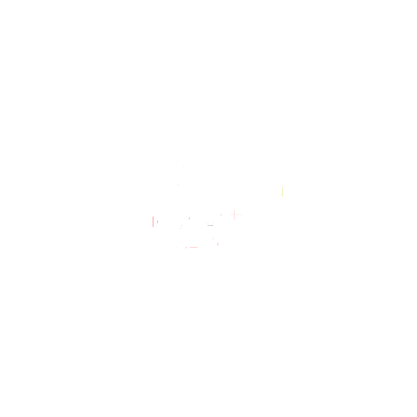 OB(O)OB(O)O.SCCCc1ccc(-c2ccccc2)cc1